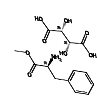 COC(=O)[C@@H](N)Cc1ccccc1.O=C(O)[C@H](O)[C@@H](O)C(=O)O